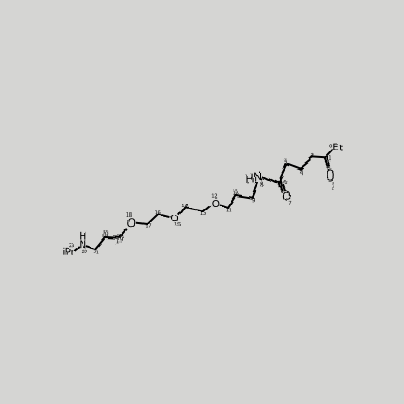 CCC(=O)CCCC(=O)NCCCOCCOCCOCCCNC(C)C